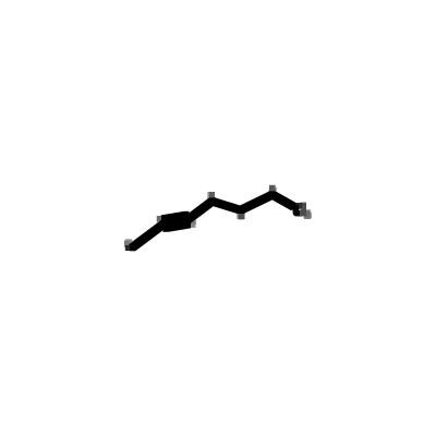 [CH2]C#CCCCCl